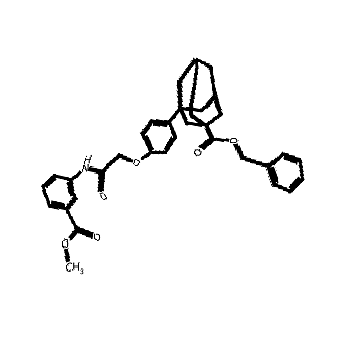 COC(=O)c1cccc(NC(=O)COc2ccc(C34CC5CC(CC(C(=O)OCc6ccccc6)(C5)C3)C4)cc2)c1